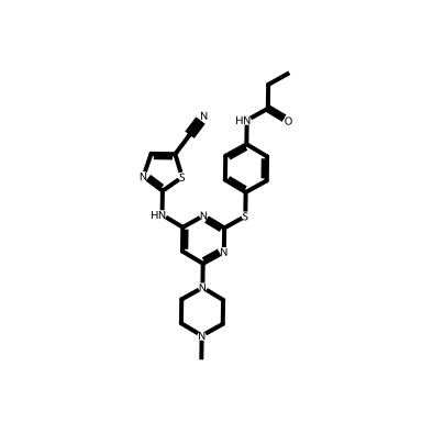 CCC(=O)Nc1ccc(Sc2nc(Nc3ncc(C#N)s3)cc(N3CCN(C)CC3)n2)cc1